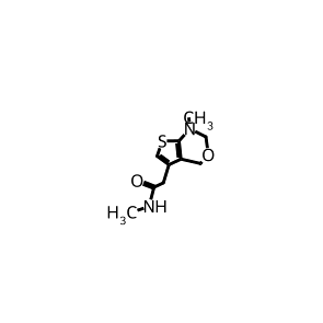 CNC(=O)Cc1csc2c1COCN2C